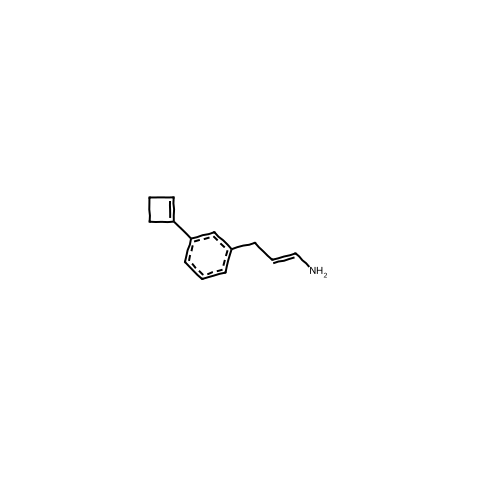 NC=CCc1cccc(C2=CCC2)c1